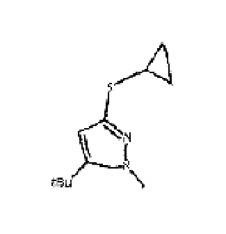 Cn1nc(SC2CC2)cc1C(C)(C)C